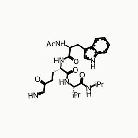 CC(=O)N[C@@H](Cc1c[nH]c2ccccc12)C(=O)N[C@@H](CCC(=O)C=N)C(=O)N[C@H](C(=O)NC(C)C)C(C)C